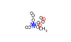 CC1CC=C(c2nc(-c3ccc(-c4ccc5ccccc5c4)cc3)nc(-c3ccc4ccccc4c3)n2)c2c1oc1c(-c3cccc4oc5ccccc5c34)cccc21